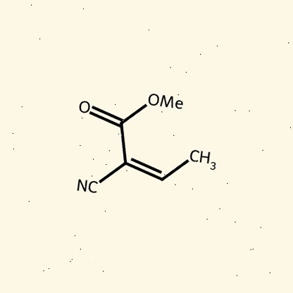 CC=C(C#N)C(=O)OC